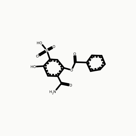 NC(=O)c1cc(O)c(S(=O)(=O)O)cc1OC(=O)c1ccccc1